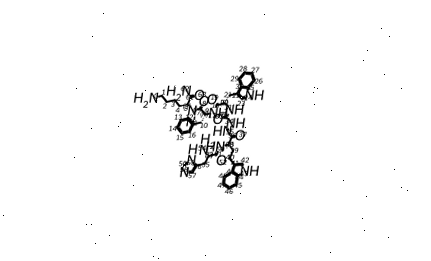 NCCCC[C@H](NC(=O)[C@@H](Cc1ccccc1)NC(=O)[C@H](Cc1c[nH]c2ccccc12)NC(=O)NNC(=O)[C@@H](CCc1c[nH]c2ccccc12)NC(=O)[C@@H](N)Cc1cnc[nH]1)C(N)=O